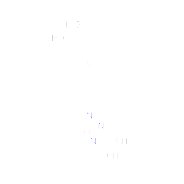 Bc1ccc(OCCCC2CCN(c3nc(C(C)C)no3)CC2)cc1C